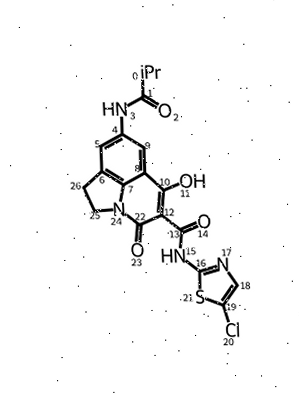 CC(C)C(=O)Nc1cc2c3c(c1)c(O)c(C(=O)Nc1ncc(Cl)s1)c(=O)n3CC2